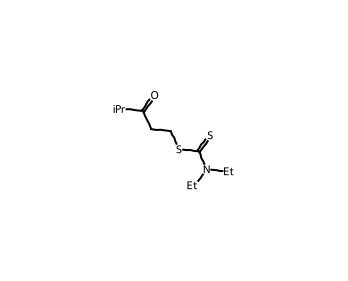 CCN(CC)C(=S)SCCC(=O)C(C)C